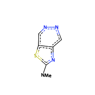 CNc1nc2cnncc2s1